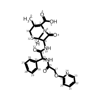 CC1=C(C(=O)O)N2C(=O)C(NC(=O)C(NC(=O)COc3ccccn3)c3ccccc3)[C@H]2SC1